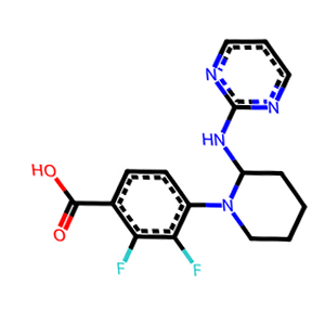 O=C(O)c1ccc(N2CCCCC2Nc2ncccn2)c(F)c1F